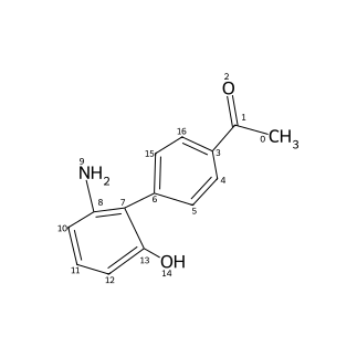 CC(=O)c1ccc(-c2c(N)cccc2O)cc1